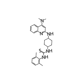 Cc1cccc(C)c1NC(=S)NC1CCC(Nc2cc(N(C)C)c3ccccc3n2)CC1